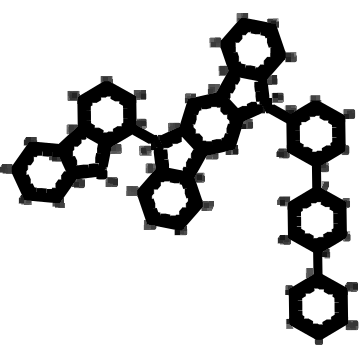 c1ccc(-c2ccc(-c3cccc(-n4c5ccccc5c5cc6c(cc54)c4ccccc4n6-c4cccc5c4sc4ccccc45)c3)cc2)cc1